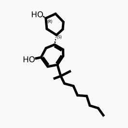 CCCCCCCC(C)(C)C1=CC=C([C@H]2CCC[C@@H](O)C2)CC(O)=C1